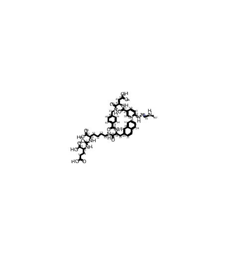 O=C(O)CCC(NC(=O)NC(CCCCNC(=O)C(Cc1ccc2ccccc2c1)NC(=O)c1ccc(CNC(=O)C(CC(=O)O)NC(=O)c2ccc(N/N=C/NI)nc2)cc1)C(=O)O)C(=O)O